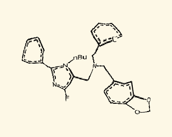 CCCCn1c(-c2ccccc2)nc(F)c1CN(Cc1ccccc1)Cc1ccc2c(c1)OCO2